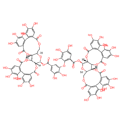 O=C(O[C@@H]1O[C@@H]2COC(=O)c3cc(O)c(O)c(O)c3-c3c(cc(O)c(O)c3O)C(=O)O[C@H]2[C@@H]2OC(=O)c3cc(O)c(O)c(O)c3-c3c(cc(O)c(O)c3O)C(=O)O[C@@H]12)c1cc(O)c(O)c(Oc2c(C(=O)O[C@@H]3O[C@@H]4COC(=O)c5cc(O)c(O)c(O)c5-c5c(cc(O)c(O)c5O)C(=O)O[C@H]4[C@@H]4OC(=O)c5cc(O)c(O)c(O)c5-c5c(cc(O)c(O)c5O)C(=O)O[C@@H]34)cc(O)c(O)c2O)c1